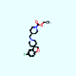 CCOC(=O)N1CCC(CN2CCC3(CC2)COc2ccc(F)cc23)CC1